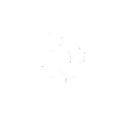 CC(C)(C)OC(=O)N1CC(O)CC1c1cc(Br)ccc1C1CCOCC1